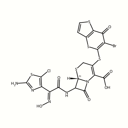 Nc1nc(C(=NO)C(=O)NC2C(=O)N3C(C(=O)O)=C(Sc4sc5ccsc5c(=O)c4Br)CS[C@@H]23)c(Cl)s1